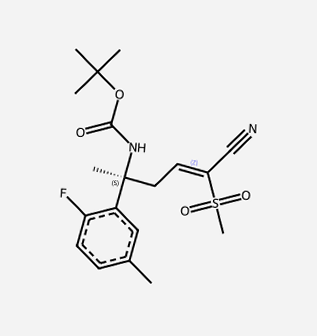 Cc1ccc(F)c([C@](C)(C/C=C(/C#N)S(C)(=O)=O)NC(=O)OC(C)(C)C)c1